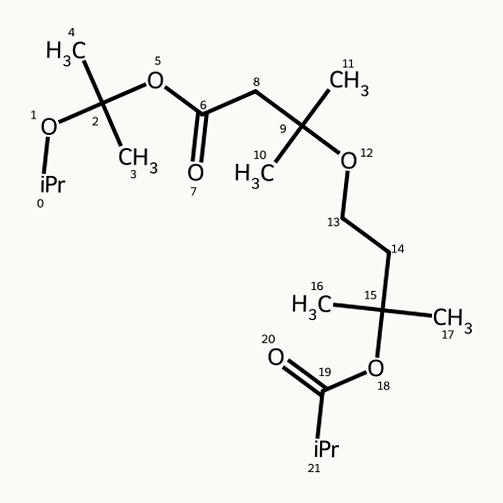 CC(C)OC(C)(C)OC(=O)CC(C)(C)OCCC(C)(C)OC(=O)C(C)C